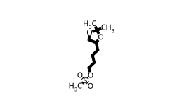 CC1(C)OCC(CCCCOS(C)(=O)=O)O1